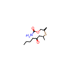 C=C(COC(N)=O)SC(C)CC(=O)CCCC